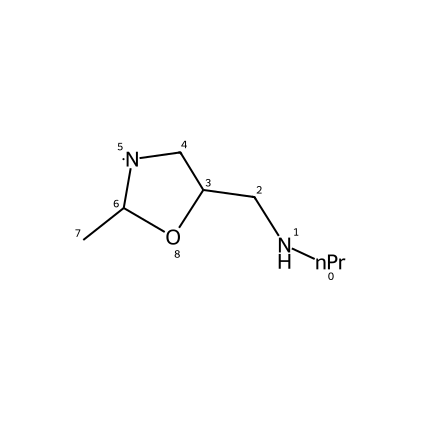 CCCNCC1C[N]C(C)O1